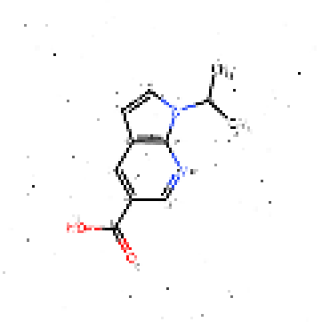 CC(C)n1ccc2cc(C(=O)O)cnc21